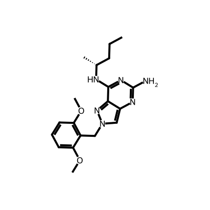 CCC[C@@H](C)Nc1nc(N)nc2cn(Cc3c(OC)cccc3OC)nc12